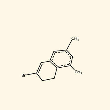 Cc1cc(C)c2c(c1)C=C(Br)CC2